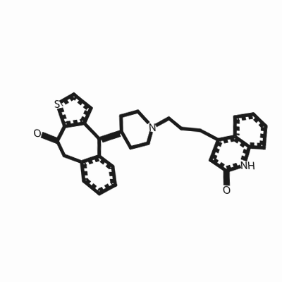 O=C1Cc2ccccc2C(=C2CCN(CCCc3cc(=O)[nH]c4ccccc34)CC2)c2ccsc21